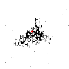 C=CC(=O)N1CCC(O)(C(=O)C(C)[C@H](C(=O)N[C@@H](CC(=N)S)C(=O)N2CCCC(O)(C(=O)OCC(C)(C)C)N2)C(C)C)C1